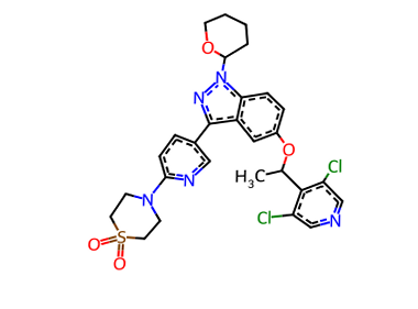 CC(Oc1ccc2c(c1)c(-c1ccc(N3CCS(=O)(=O)CC3)nc1)nn2C1CCCCO1)c1c(Cl)cncc1Cl